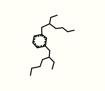 CCCCC(CC)Cc1[c]ccc(CC(CC)CCCC)c1